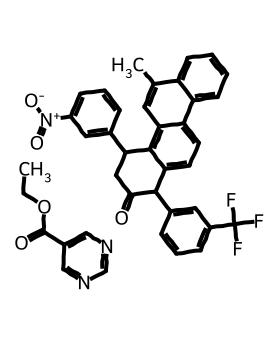 CCOC(=O)c1cncnc1.Cc1cc2c3c(ccc2c2ccccc12)C(c1cccc(C(F)(F)F)c1)C(=O)CC3c1cccc([N+](=O)[O-])c1